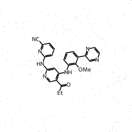 CCC(=O)c1cnc(Nc2cccc(C#N)n2)cc1Nc1cccc(-c2cnccn2)c1OC